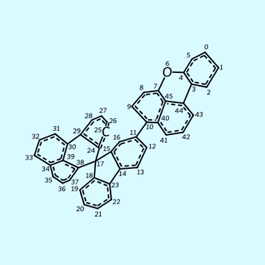 c1ccc2c(c1)Oc1ccc(-c3ccc4c(c3)C3(c5ccccc5-4)c4ccccc4-c4cccc5cccc3c45)c3cccc-2c13